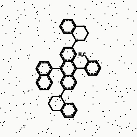 Cc1ccccc1-c1c2cc(N3CCCc4ccccc43)ccc2c(-c2cccc3ccccc23)c2cc(N3CCCc4ccccc43)ccc12